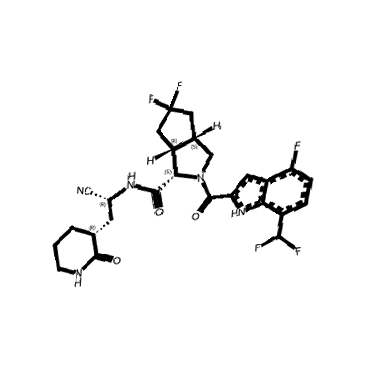 N#C[C@@H](C[C@H]1CCCNC1=O)NC(=O)[C@@H]1[C@@H]2CC(F)(F)C[C@@H]2CN1C(=O)c1cc2c(F)ccc(C(F)F)c2[nH]1